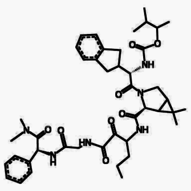 CCCC(NC(=O)[C@@H]1C2C(CN1C(=O)[C@@H](NC(=O)OC(C)C(C)C)C1Cc3ccccc3C1)C2(C)C)C(=O)C(=O)NCC(=O)N[C@H](C(=O)N(C)C)c1ccccc1